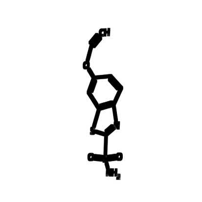 C#COc1ccc2nc(S(N)(=O)=O)sc2c1